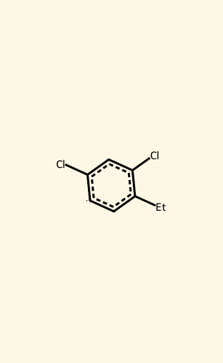 CCc1c[c]c(Cl)cc1Cl